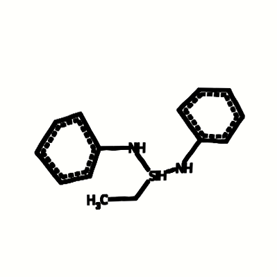 CC[SiH](Nc1ccccc1)Nc1ccccc1